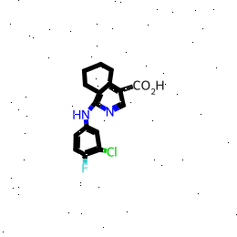 O=C(O)c1cnc(Nc2ccc(F)c(Cl)c2)c2c1CCCC2